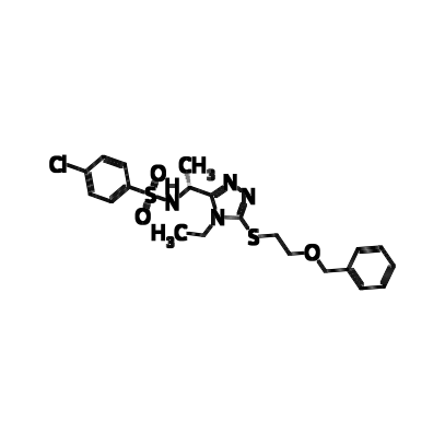 CCn1c(SCCOCc2ccccc2)nnc1[C@@H](C)NS(=O)(=O)c1ccc(Cl)cc1